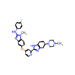 CN1CCN(c2ccc3[nH]c(-c4cc(Oc5ccc6c(c5)nc(Nc5ccc(F)cc5)n6C)ccn4)nc3c2)CC1